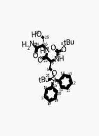 CC(C)(C)OC(=O)N[C@@H](CO[Si](c1ccccc1)(c1ccccc1)C(C)(C)C)C(=O)N[C@@H](CO)C(N)=O